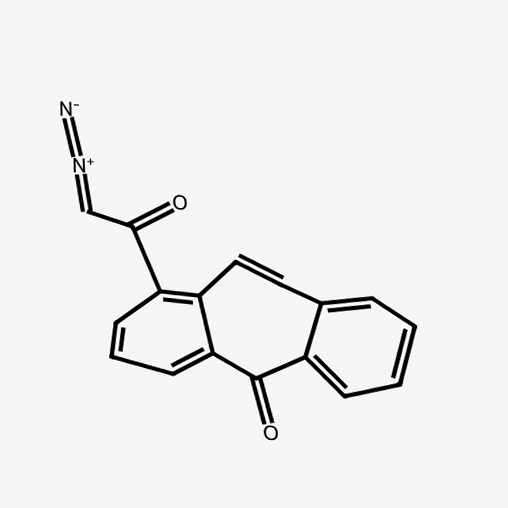 [N-]=[N+]=CC(=O)c1cccc2c(=O)c3ccccc3ccc12